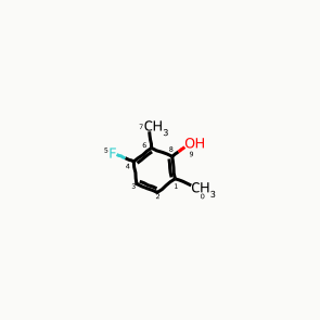 Cc1ccc(F)c(C)c1O